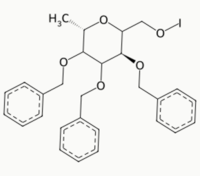 C[C@@H]1OC(COI)[C@@H](OCc2ccccc2)C(OCc2ccccc2)C1OCc1ccccc1